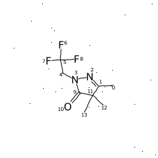 CC1=NN(CC(F)(F)F)C(=O)C1(C)C